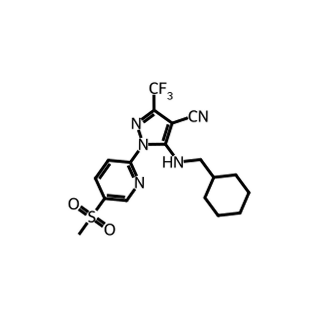 CS(=O)(=O)c1ccc(-n2nc(C(F)(F)F)c(C#N)c2NCC2CCCCC2)nc1